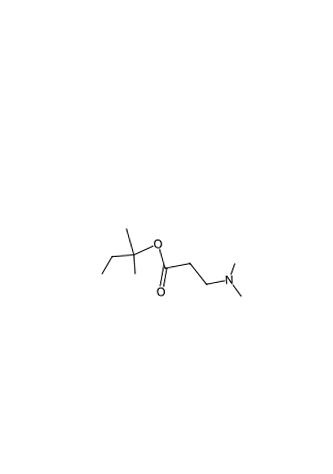 CCC(C)(C)OC(=O)CCN(C)C